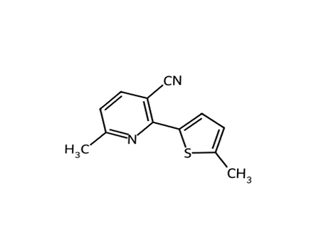 Cc1ccc(C#N)c(-c2ccc(C)s2)n1